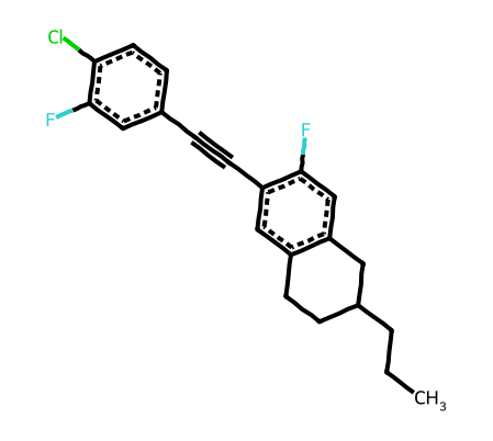 CCCC1CCc2cc(C#Cc3ccc(Cl)c(F)c3)c(F)cc2C1